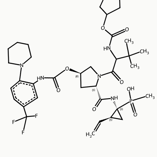 C=C[C@@H]1C[C@]1(NC(=O)[C@@H]1C[C@@H](OC(=O)Nc2cc(C(F)(F)F)ccc2N2CCCCC2)CN1C(=O)C(NC(=O)OC1CCCC1)C(C)(C)C)P(C)(=O)O